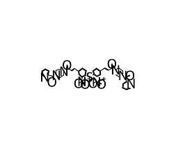 O=C(/C=C/c1ccc(Sc2ccc(/C=C/C(=O)N3CCN(C(=O)c4ccccn4)CC3)cc2[N+](=O)[O-])c([N+](=O)[O-])c1)N1CCN(C(=O)c2ccccn2)CC1